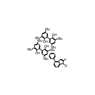 CC(C)(C)c1cc(-c2cc(C(C)(C)C)cc(C(C)(C)C)c2O)c(O)c(C(C)(C)C)c1.CC(C)(C)c1cc(-c2cc(C(C)(C)C)cc(C(C)(C)C)c2O)c(O)c(C(C)(C)C)c1.CC1=Cc2c(-c3ccccc3)cccc2[CH]1[Zr]